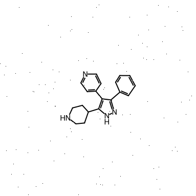 c1ccc(-c2n[nH]c(C3CCNCC3)c2-c2ccncc2)cc1